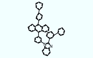 c1ccc(-c2ccc(-c3c4ccccc4c(-c4cccc(-n5c(-c6cccc(-c7ccccc7)c6)nc6ccccc65)c4)c4ccccc34)cc2)cc1